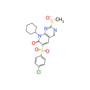 C[S+]([O-])c1ncc2cc(S(=O)(=O)c3ccc(Cl)cc3)c(=O)n(C3CCCCC3)c2n1